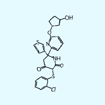 O=C1CC(c2ccsc2)(c2cccc(OC3CCC(O)C3)n2)NC(=O)C1Sc1ccccc1Cl